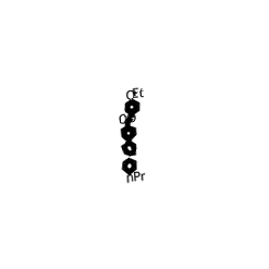 CCC[C@H]1CC[C@H](C2CCC(c3ccc(C(=O)Oc4ccc(OCC)cc4)cc3)CC2)CC1